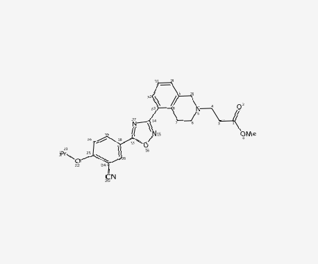 COC(=O)CCN1CCc2c(cccc2-c2noc(-c3ccc(OC(C)C)c(C#N)c3)n2)C1